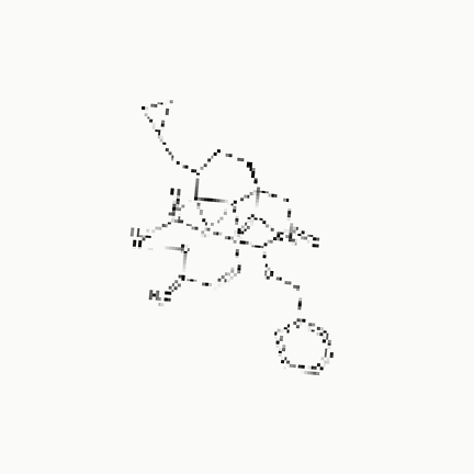 C=C(/C=C\C1=C(C)[C@]23CCN(CC4CC4)[C@H](C1)[C@]2(OC(C)=O)CC(OCc1ccccc1)C(=O)C3)OC